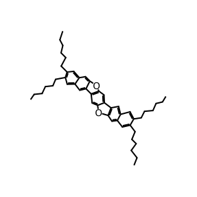 CCCCCCc1cc2cc3oc4cc5c(cc4c3cc2cc1CCCCCC)oc1cc2cc(CCCCCC)c(CCCCCC)cc2cc15